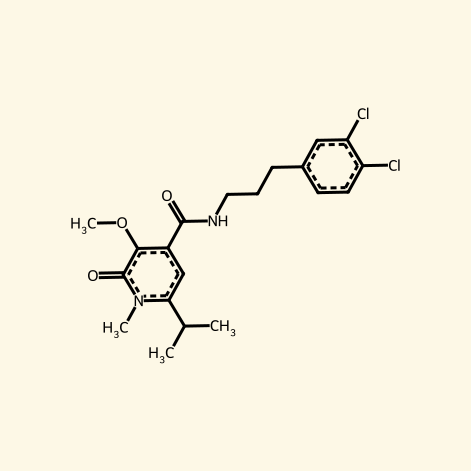 COc1c(C(=O)NCCCc2ccc(Cl)c(Cl)c2)cc(C(C)C)n(C)c1=O